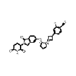 N#Cc1ccc(C2CN([C@@H]3CCC[C@@H]3Oc3ccc4c(c3)CN(C3CCC(=O)NC3=O)C4=O)C2)cc1F